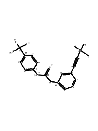 C[Si](C)(C)C#Cc1cccc(CC(=O)Nc2ccc(C(F)(F)F)cc2)c1